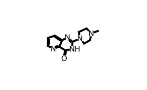 CN1CCN(c2nc3cccnc3c(=O)[nH]2)CC1